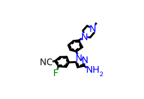 CN1CCN(c2cccc(-n3nc(N)cc3-c3ccc(C#N)c(F)c3)c2)CC1